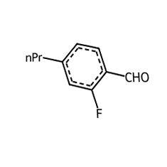 CCCc1ccc(C=O)c(F)c1